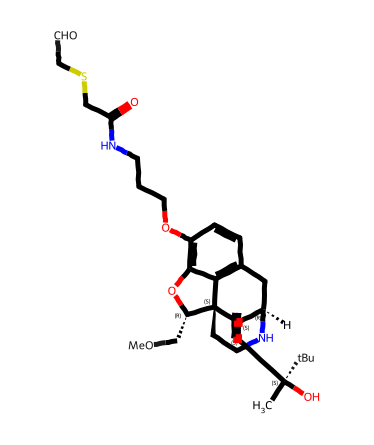 COC[C@@H]1Oc2c(OCCCNC(=O)CSCC=O)ccc3c2[C@@]12CCN[C@H](C3)[C@]21CC=C[C@@H]([C@](C)(O)C(C)(C)C)C1